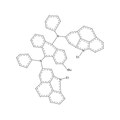 CCn1c2cccc3ccc4cc(N(c5ccccc5)c5c6ccccc6c(N(c6ccccc6)c6cc7ccc8cccc9c8c7c(c6)n9CC)c6cc(C(C)(C)C)ccc56)cc1c4c32